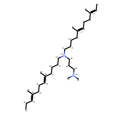 C/C=C(\C)CC/C=C(\C)CCCCN(CCCC/C(C)=C/CC/C(C)=C/CC)CCCN(C)C